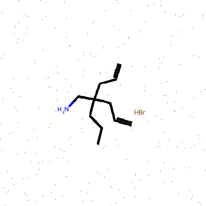 Br.C=CCC(CN)(CC=C)CCC